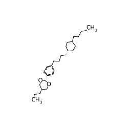 CCCCC[C@H]1CC[C@H](CCCCc2ccc([C@H]3OC[C@H](CCC)CO3)cc2)CC1